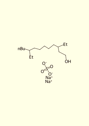 CCCCC(CC)CCCCCC(CC)CCO.O=S(=O)([O-])[O-].[Na+].[Na+]